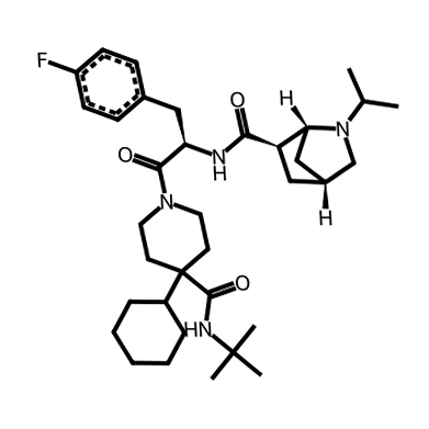 CC(C)N1C[C@H]2C[C@@H]1[C@H](C(=O)N[C@H](Cc1ccc(F)cc1)C(=O)N1CCC(C(=O)NC(C)(C)C)(C3CCCCC3)CC1)C2